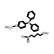 CC(=O)O.CCN(CC)CCCCOC(C)=O.c1ccc(P(c2ccccc2)c2ccccc2)cc1